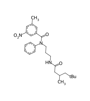 Cc1cc(C(=O)N(CCCNC(=O)CC(C)CC(C)(C)C)c2ccccc2)cc([N+](=O)[O-])c1